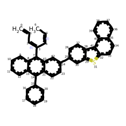 C=C/C=C(\C=C/C)c1c2ccccc2c(-c2ccccc2)c2ccc(-c3ccc4c(c3)sc3ccc5ccccc5c34)cc12